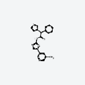 Cc1cncc(-c2cnc(NC(=O)C(c3ccccc3)c3ccsc3)s2)c1